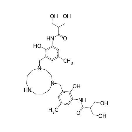 Cc1cc(CN2CCCNCCCN(Cc3cc(C)cc(NC(=O)C(CO)CO)c3O)CC2)c(O)c(NC(=O)C(CO)CO)c1